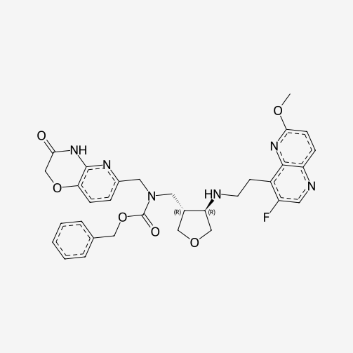 COc1ccc2ncc(F)c(CCN[C@H]3COC[C@@H]3CN(Cc3ccc4c(n3)NC(=O)CO4)C(=O)OCc3ccccc3)c2n1